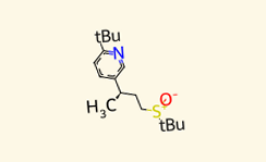 C[C@H](CC[S+]([O-])C(C)(C)C)c1ccc(C(C)(C)C)nc1